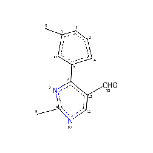 Cc1cccc(-c2nc(C)ncc2C=O)c1